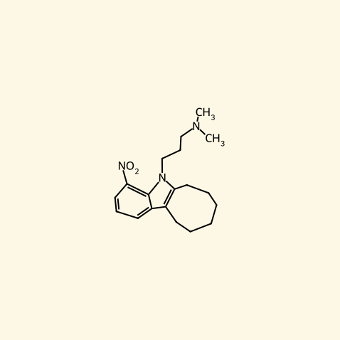 CN(C)CCCn1c2c(c3cccc([N+](=O)[O-])c31)CCCCCC2